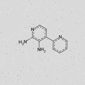 Nc1nccc(-c2ccccn2)c1N